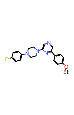 CCOc1ccc(-c2cncc(N3CCN(c4ccc(F)cc4)CC3)n2)cc1